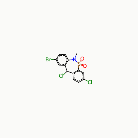 CN1c2ccc(Br)cc2C(Cl)c2ccc(Cl)cc2S1(=O)=O